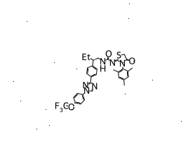 CCC(CNC(=O)/N=C1\SCC(=O)N1c1c(C)cc(C)cc1C)c1ccc(-c2ncn(-c3ccc(OC(F)(F)F)cc3)n2)cc1